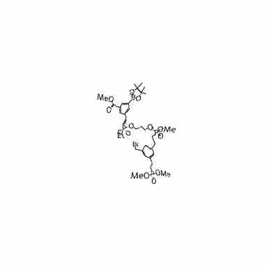 CCOP(=O)(/C=C/c1cc(B2OC(C)(C)C(C)(C)O2)cc(C(=O)OC)c1)OCCCOP(=O)(CCc1cc(CBr)cc(CCP(=O)(OC)OC)c1)OC